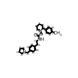 Cc1ccc(C2CCCCN2OC(=O)NCCc2ccc(CN3CCCC3)cc2)cc1